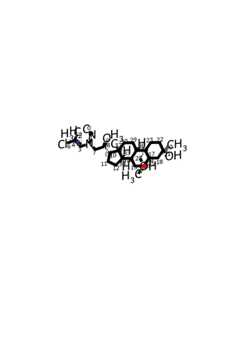 C=NN(/C=C(\C)Cl)CC(=O)[C@H]1CC[C@H]2[C@@H]3CC[C@H]4C[C@](C)(O)CC[C@]4(COC)[C@H]3CC[C@]12C